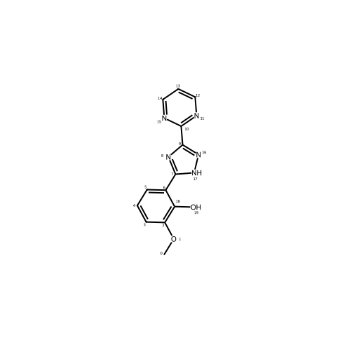 COc1cccc(-c2nc(-c3ncccn3)n[nH]2)c1O